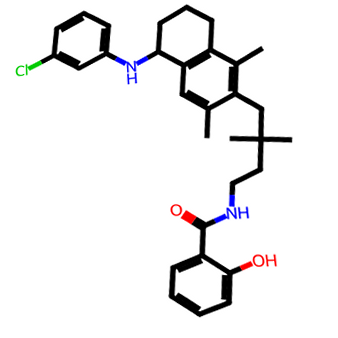 Cc1cc2c(c(C)c1CC(C)(C)CCNC(=O)c1ccccc1O)CCCC2Nc1cccc(Cl)c1